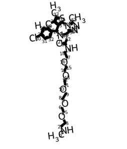 CNCCOCCOCCOCCOCCOCCNC(=O)C[C@@H]1N=C(c2ccc(Cl)cc2)c2c(sc(C)c2C)-n2c(C)nnc21